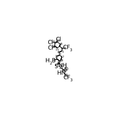 Bc1cc(/C=C/C(c2cc(Cl)c(Cl)c(Cl)c2)C(F)(F)F)ccc1C(=S)NCC(=S)NCC(F)(F)F